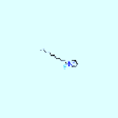 CCCCCCCCCCC(F)[n+]1ccccc1